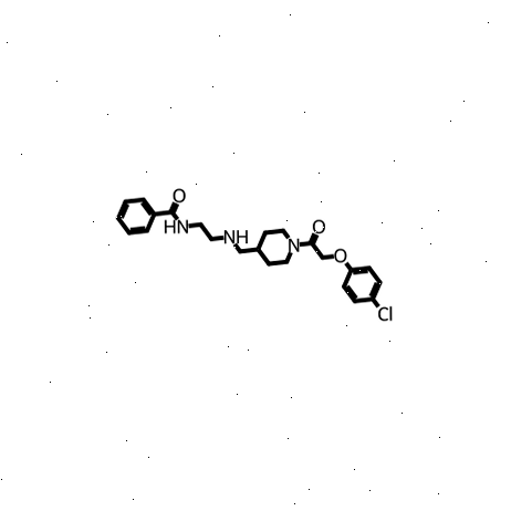 O=C(NCCNCC1CCN(C(=O)COc2ccc(Cl)cc2)CC1)c1ccccc1